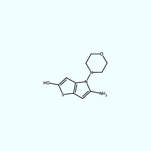 Nc1cc2sc(O)cc2n1N1CCOCC1